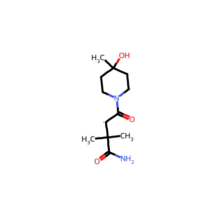 CC1(O)CCN(C(=O)[CH]C(C)(C)C(N)=O)CC1